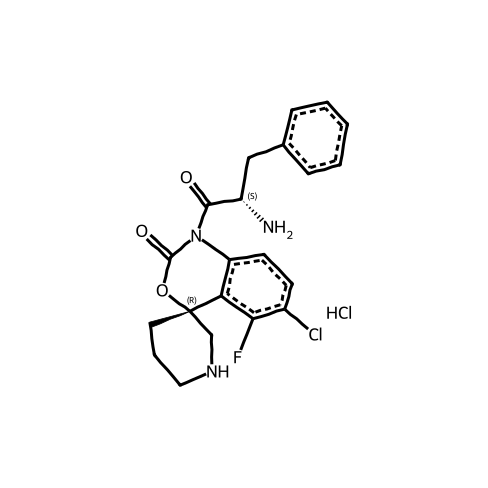 Cl.N[C@@H](Cc1ccccc1)C(=O)N1C(=O)O[C@]2(CCCNC2)c2c1ccc(Cl)c2F